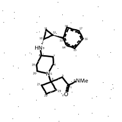 CNC(=O)CC1(N2CCC(N[C@@H]3C[C@H]3c3ccccc3)CC2)CCC1